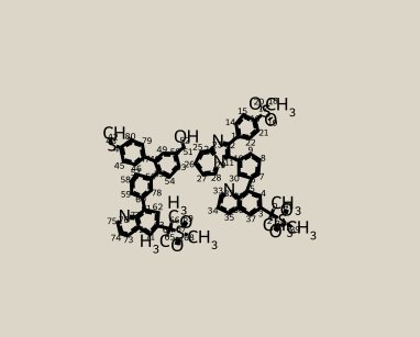 CC(C)(c1cc(-c2cccc(-c3c(-c4ccc(S(C)(=O)=O)cc4)nc4ccccn34)c2)c2ncccc2c1)S(C)(=O)=O.CSc1ccc(-c2cc(CO)ccc2-c2cccc(-c3cc(C(C)(C)S(C)(=O)=O)cc4cccnc34)c2)cc1